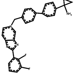 NC1(c2ccc(-c3ccc(Cn4ccc5nc(-c6cccc(F)c6F)nc-5c4)cc3)cc2)CC1